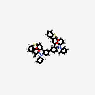 Cc1ccccc1N(c1ccccc1)c1ccc(-c2ccc(N(c3ccccc3)c3ccccc3C)c(-c3ccc4sc5ccccc5c4c3)c2)cc1-c1ccc2sc3ccccc3c2c1